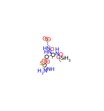 CCC([SiH3])OC(=O)Nc1cc(C)c(-c2cccc(S(=O)(=O)c3cc(C(=N)N)sc3SC)c2)c(NC(=O)NCCCCS(C)(=O)=O)c1